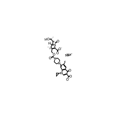 C[C@@H](O)[C@@H]1C(=O)N2C(C(=O)[O-])=C(COC(=O)N3CCN(c4cc5c(cc4F)c(=O)c(C(=O)[O-])cn5C4CC4)CC3)[C@H](C)[C@H]12.[Na+].[Na+]